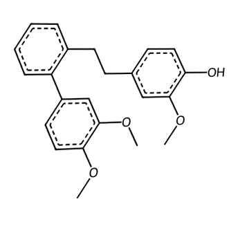 COc1cc(CCc2ccccc2-c2ccc(OC)c(OC)c2)ccc1O